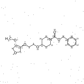 CO[C@H]1COC[C@@H]1OCCOC1CCN(C(=O)OCc2ccccc2)CC1